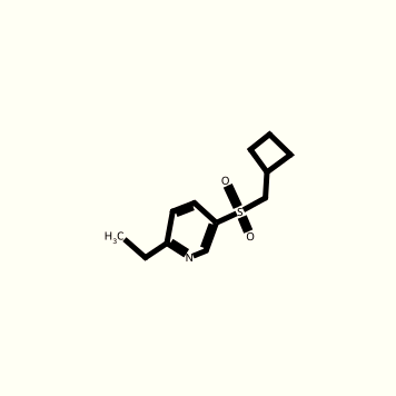 CCc1ccc(S(=O)(=O)CC2CCC2)cn1